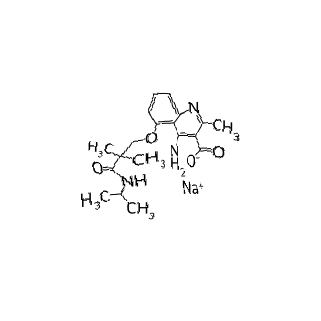 Cc1nc2cccc(OCC(C)(C)C(=O)NC(C)C)c2c(N)c1C(=O)[O-].[Na+]